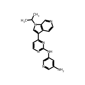 CC(C)n1cc(-c2ccnc(Nc3cncc(N)c3)n2)c2ccncc21